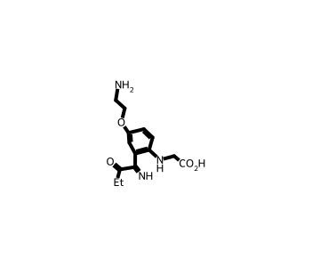 CCC(=O)C(=N)c1cc(OCCN)ccc1NCC(=O)O